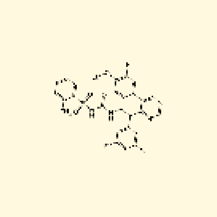 CCOc1ccc(-c2cccnc2C(CNC(=O)NS(=O)(=O)c2ccccc2C)c2cc(F)cc(F)c2)cc1F